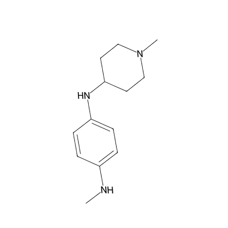 CNc1ccc(NC2CCN(C)CC2)cc1